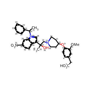 COc1cc(CC(=O)O)ccc1OC1CCN(CC(O)(c2cn(C(C)c3ccccc3)c3cc([N+](=O)[O-])ccc23)C(F)(F)F)CC1